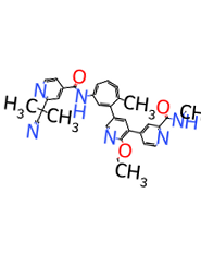 CCOc1ncc(C2=CC(NC(=O)c3ccnc(C(C)(C)C#N)c3)=CC=C=C2C)cc1-c1ccnc(C(=O)NC)c1